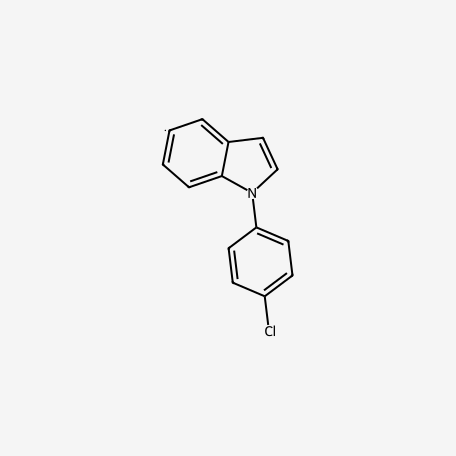 Clc1ccc(-n2ccc3c[c]ccc32)cc1